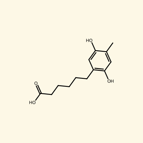 Cc1cc(O)c(CCCCCC(=O)O)cc1O